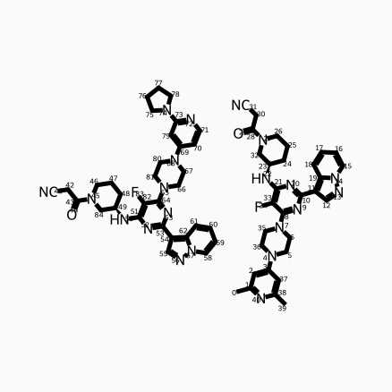 Cc1cc(N2CCN(c3nc(-c4cnn5ccccc45)nc(N[C@@H]4CCCN(C(=O)CC#N)C4)c3F)CC2)cc(C)n1.N#CCC(=O)N1CCC[C@@H](Nc2nc(-c3cnn4ccccc34)nc(N3CCN(c4ccnc(N5CCCC5)c4)CC3)c2F)C1